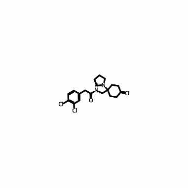 O=C1CCC(CNC(=O)Cc2ccc(Cl)c(Cl)c2)(N2CCCC2)CC1